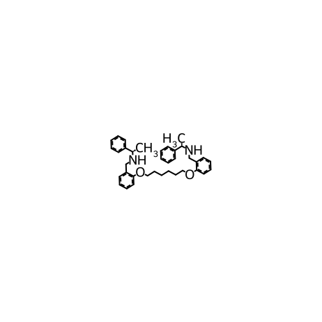 C[C@@H](NCc1ccccc1OCCCCCCOc1ccccc1CN[C@H](C)c1ccccc1)c1ccccc1